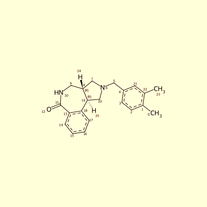 Cc1ccc(CN2C[C@H]3CNC(=O)c4ccccc4[C@@H]3C2)cc1C